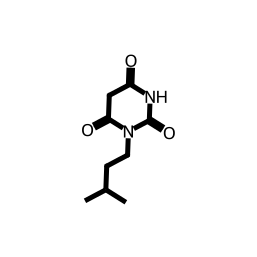 CC(C)CCN1C(=O)CC(=O)NC1=O